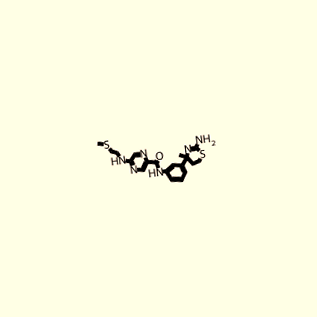 CSCCNc1cnc(C(=O)Nc2cccc(C3(C)CCSC(N)=N3)c2)cn1